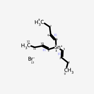 CC/C=[CH]/[Sn+](/[CH]=C/CC)/[CH]=C/CC.[Br-]